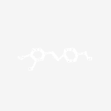 CC(C)(C)Oc1ccc(/C=C/c2cnc(N)c(C#N)c2)cc1